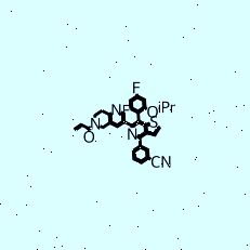 C=CC(=O)N1CCc2ncc(-c3nc(-c4cccc(C#N)c4)c4ccsc4c3-c3c(F)cc(F)cc3OC(C)C)cc2C1